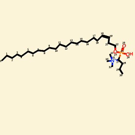 CCCCCCCCCCCCCCCCCCC/C=C\CCOP(=O)(O)C(CCC)[N+](C)(C)C